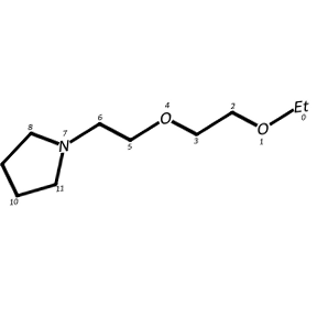 CCOCCOCCN1CCCC1